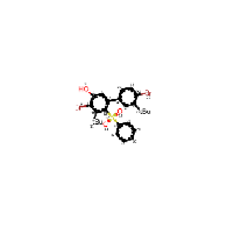 CC(C)(C)c1cc(-c2cc(O)c(Br)c(C(C)(C)C)c2S(=O)(=O)c2ccccc2)ccc1Br